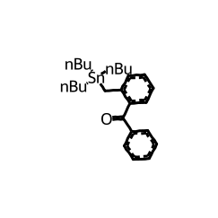 CCC[CH2][Sn]([CH2]CCC)([CH2]CCC)[CH2]c1ccccc1C(=O)c1ccccc1